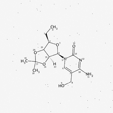 CC[C@H]1O[C@@H](n2cc(CO)c(N)nc2=O)[C@H]2OC(C)(C)OC12